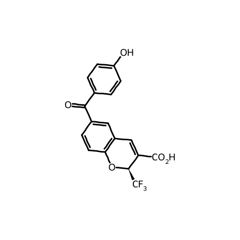 O=C(O)C1=Cc2cc(C(=O)c3ccc(O)cc3)ccc2O[C@@H]1C(F)(F)F